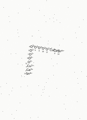 [Cu+2].[Cu+2].[Ga+3].[Ga+3].[O-2].[O-2].[O-2].[O-2].[O-2].[O-2].[O-2].[O-2].[O-2].[Sn+4].[Sn+4]